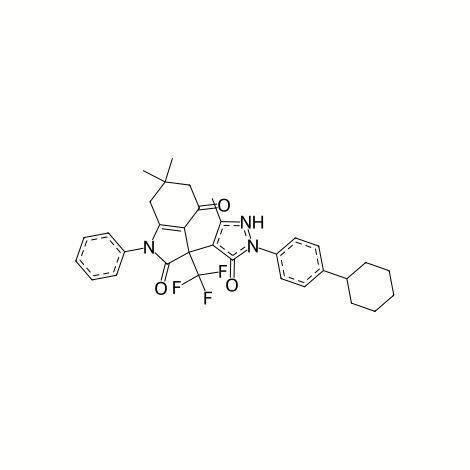 Cc1[nH]n(-c2ccc(C3CCCCC3)cc2)c(=O)c1C1(C(F)(F)F)C(=O)N(c2ccccc2)C2=C1C(=O)CC(C)(C)C2